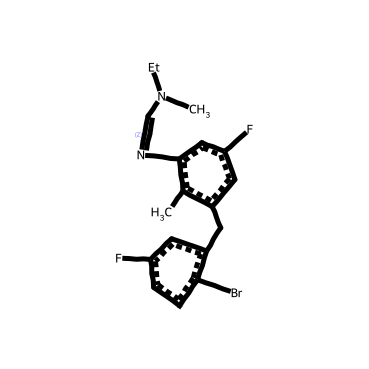 CCN(C)/C=N\c1cc(F)cc(Cc2cc(F)ccc2Br)c1C